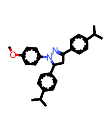 COc1ccc(N2N=C(c3ccc(C(C)C)cc3)CC2c2ccc(C(C)C)cc2)cc1